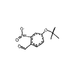 CC(C)(C)Oc1ccc(C=O)c([N+](=O)[O-])c1